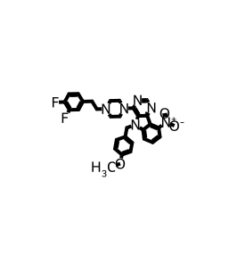 COc1ccc(Cn2c3cccc([N+](=O)[O-])c3c3ncnc(N4CCN(CCc5ccc(F)c(F)c5)CC4)c32)cc1